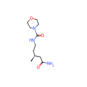 C[C@@H]([CH]CNC(=O)N1CCOCC1)CC(N)=O